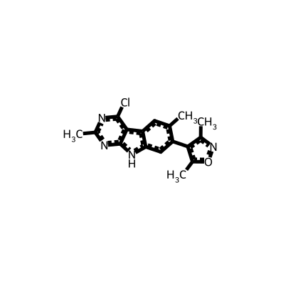 Cc1nc(Cl)c2c(n1)[nH]c1cc(-c3c(C)noc3C)c(C)cc12